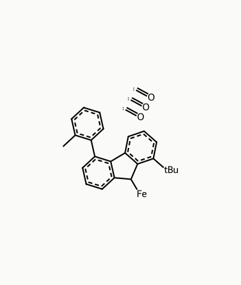 Cc1ccccc1-c1cccc2c1-c1cccc(C(C)(C)C)c1[CH]2[Fe].[C]=O.[C]=O.[C]=O